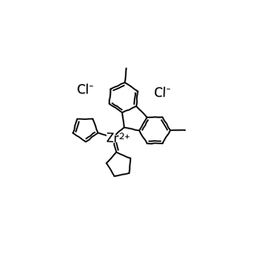 Cc1ccc2c(c1)-c1cc(C)ccc1[CH]2[Zr+2]([C]1=CC=CC1)=[C]1CCCC1.[Cl-].[Cl-]